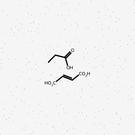 CCC(=O)O.O=C(O)C=CC(=O)O